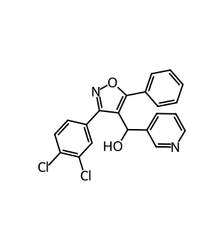 OC(c1cccnc1)c1c(-c2ccc(Cl)c(Cl)c2)noc1-c1ccccc1